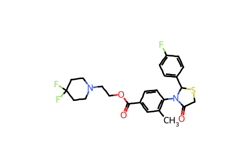 Cc1cc(C(=O)OCCN2CCC(F)(F)CC2)ccc1N1C(=O)CSC1c1ccc(F)cc1